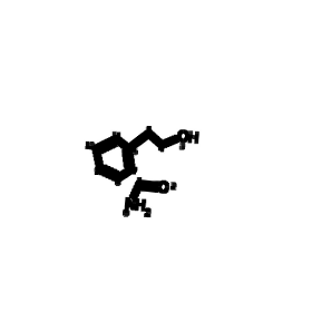 NC=O.OCCc1ccccc1